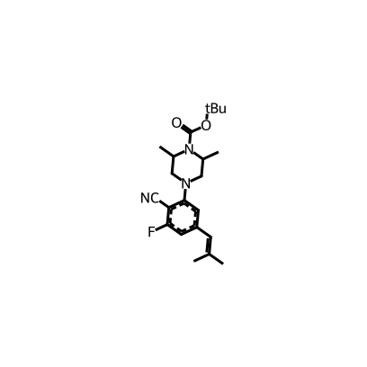 CC(C)=Cc1cc(F)c(C#N)c(N2CC(C)N(C(=O)OC(C)(C)C)C(C)C2)c1